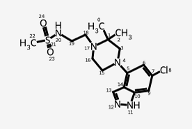 CC1(C)CN(c2cc(Cl)cc3[nH]ncc23)CCN1CCNS(C)(=O)=O